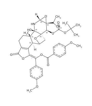 COc1ccc(C(=O)O/C(=C2/OC(=O)C3=C2[C@@H]2C4C[C@@]5(O4)[C@H](OC(=O)OC(C)(C)C)[C@@]4(C(C)C)O[C@H]4N[C@@]5(O)[C@@]2(C)CC3)c2ccc(OC)cc2)cc1